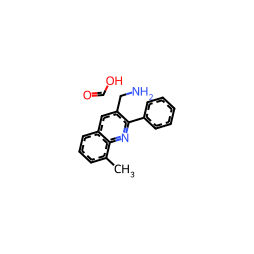 Cc1cccc2cc(CN)c(-c3ccccc3)nc12.O=CO